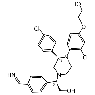 N=Cc1ccc([C@H](CO)N2CCN(c3ccc(OCCO)cc3Cl)[C@H](c3ccc(Cl)cc3)C2)cc1